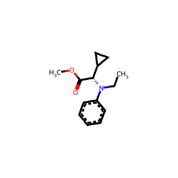 CCN(c1ccccc1)[C@H](C(=O)OC)C1CC1